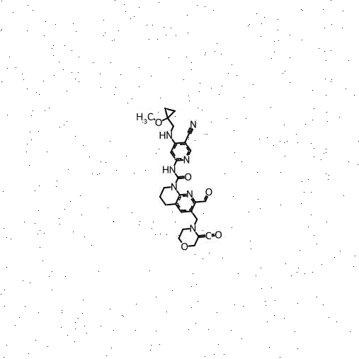 COC1(CNc2cc(NC(=O)N3CCCc4cc(CN5CCOCC5=C=O)c(C=O)nc43)ncc2C#N)CC1